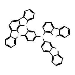 c1ccc2c(c1)oc1cc(N(c3ccc4c(c3)n3c5ccccc5c5ccc6c7ccccc7n4c6c53)c3cccc4c3oc3ccccc34)ccc12